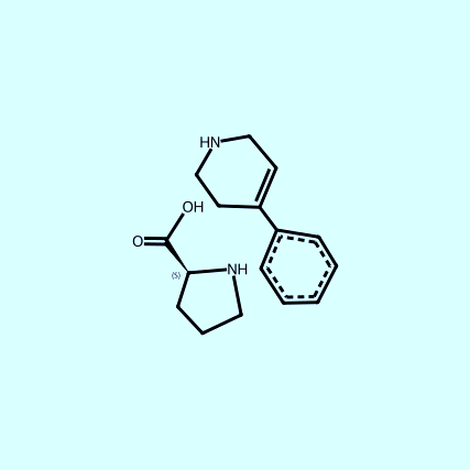 C1=C(c2ccccc2)CCNC1.O=C(O)[C@@H]1CCCN1